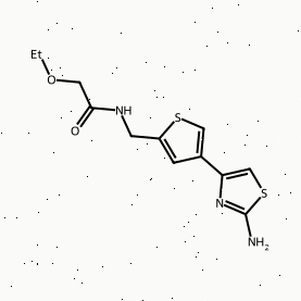 CCOCC(=O)NCc1cc(-c2csc(N)n2)cs1